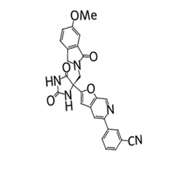 COc1ccc2c(c1)C(=O)N(C[C@@]1(c3cc4cc(-c5cccc(C#N)c5)ncc4o3)NC(=O)NC1=O)C2